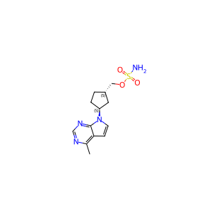 Cc1ncnc2c1ccn2[C@H]1CC[C@H](COS(N)(=O)=O)C1